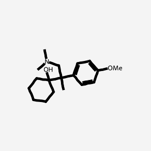 COc1ccc(C(C)(CN(C)C)C2(O)CCCCC2)cc1